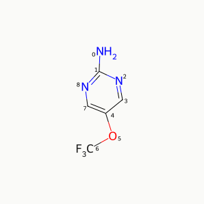 Nc1ncc(OC(F)(F)F)cn1